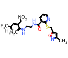 C=C(NCCNC(=O)c1cccnc1SCc1cc(C)no1)/C(=C\C(=C)C(F)(F)F)C[N+](=O)[O-]